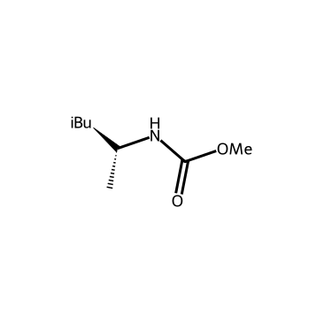 CC[C@H](C)[C@@H](C)NC(=O)OC